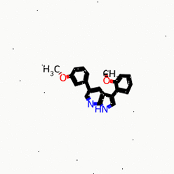 COc1cccc(-c2cnc3[nH]cc(-c4ccccc4OC)c3c2)c1